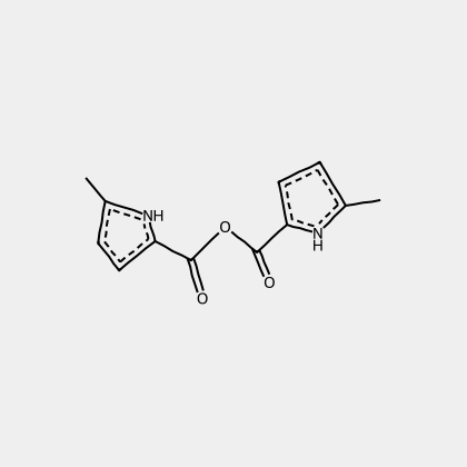 Cc1ccc(C(=O)OC(=O)c2ccc(C)[nH]2)[nH]1